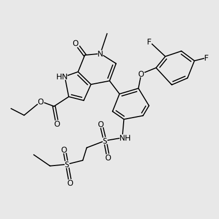 CCOC(=O)c1cc2c(-c3cc(NS(=O)(=O)CCS(=O)(=O)CC)ccc3Oc3ccc(F)cc3F)cn(C)c(=O)c2[nH]1